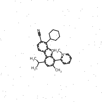 Cc1cc(C(C)C)c2c(oc3c(C4CCCCC4)c(C#N)ccc32)c1-c1cccc[n+]1C